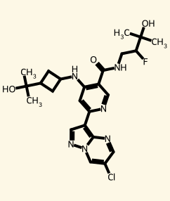 CC(C)(O)C(F)CNC(=O)c1cnc(-c2cnn3cc(Cl)cnc23)cc1NC1CC(C(C)(C)O)C1